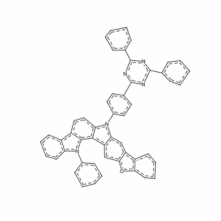 c1ccc(-c2nc(-c3ccccc3)nc(-c3ccc(-n4c5cc6c(cc5c5c4ccc4c7ccccc7n(-c7ccccc7)c45)oc4ccccc46)cc3)n2)cc1